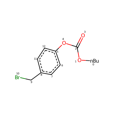 CCCCOC(=O)Oc1ccc(CBr)cc1